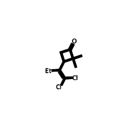 CCC(=C(Cl)Cl)C1CC(=O)C1(C)C